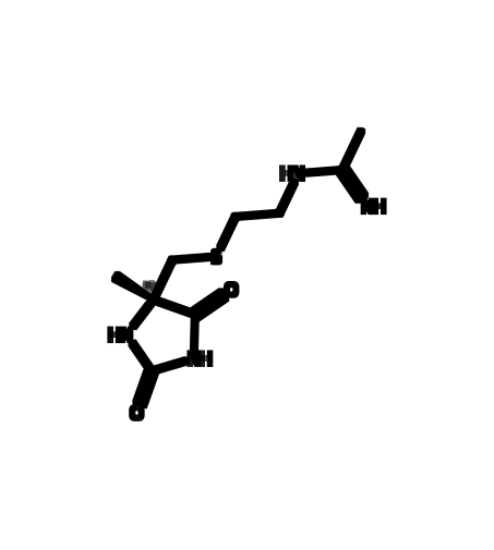 CC(=N)NCCSC[C@@]1(C)NC(=O)NC1=O